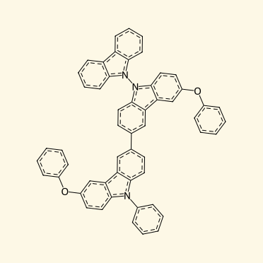 c1ccc(Oc2ccc3c(c2)c2cc(-c4ccc5c(c4)c4cc(Oc6ccccc6)ccc4n5-n4c5ccccc5c5ccccc54)ccc2n3-c2ccccc2)cc1